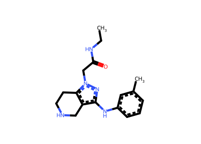 CCNC(=O)Cn1nc(Nc2cccc(C)c2)c2c1CCNC2